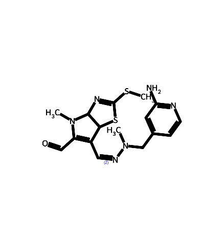 CSC1=NC2C(S1)C(/C=N\N(C)Cc1ccnc(N)c1)=C(C=O)N2C